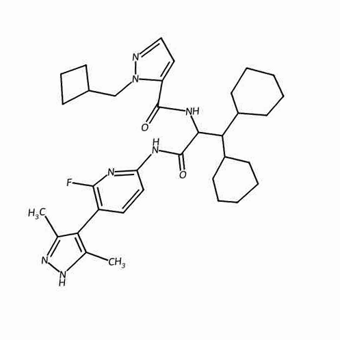 Cc1n[nH]c(C)c1-c1ccc(NC(=O)C(NC(=O)c2ccnn2CC2CCC2)C(C2CCCCC2)C2CCCCC2)nc1F